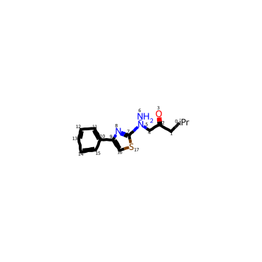 CC(C)CC(=O)CN(N)c1nc(-c2ccccc2)cs1